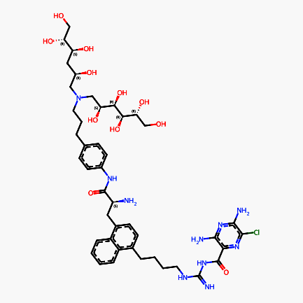 N=C(NCCCCc1ccc(C[C@H](N)C(=O)Nc2ccc(CCCN(C[C@H](O)C[C@H](O)[C@H](O)CO)C[C@H](O)[C@@H](O)[C@H](O)[C@H](O)CO)cc2)c2ccccc12)NC(=O)c1nc(Cl)c(N)nc1N